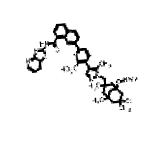 CCC1(C)CC2(C)CC(C)(Cn3ncc(-c4ccc(-c5ccc6cccc(C(=O)Nc7nc8ncccc8s7)c6c5)nc4C(=O)O)c3C)CC(ONC)(C1)C2